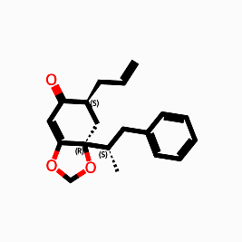 C=CC[C@H]1C[C@]2([C@@H](C)Cc3ccccc3)OCOC2=CC1=O